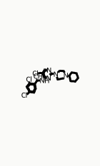 C[C@@H](Nc1nc(N2CCN(C3CCCCC3)CC2)ncc1Cl)c1ccc(Cl)cc1Cl